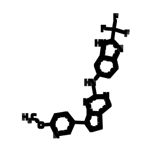 COc1ccc(-c2ccc3cnc(Nc4ccc5nc(C(F)(F)F)[nH]c5c4)nn23)cn1